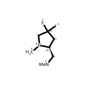 CNC[C@@H]1CC(F)(I)CN1C